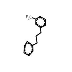 FC(F)(F)c1cccc(CCCc2ccccc2)c1